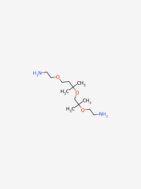 CC(C)(CCOCCN)OCC(C)(C)OCCN